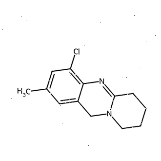 Cc1cc(Cl)c2c(c1)CN1CCCCC1=N2